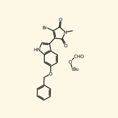 CC(C)(C)OC=O.CN1C(=O)C(Br)=C(c2c[nH]c3cc(OCc4ccccc4)ccc23)C1=O